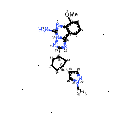 COc1cccc2c1nc(N)n1nc([C@H]3CCC[C@@H](c4cnn(C)c4)C3)nc21